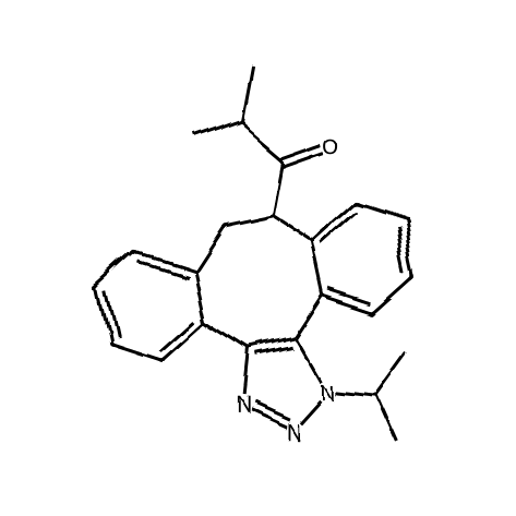 CC(C)C(=O)C1Cc2ccccc2-c2nnn(C(C)C)c2-c2ccccc21